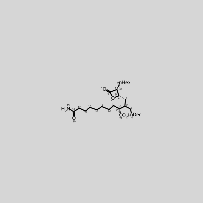 CCCCCCCCCCCC(C[C@@H]1OC(=O)[C@H]1CCCCCC)[C@H](CCCCCCCC(N)=O)C(=O)O